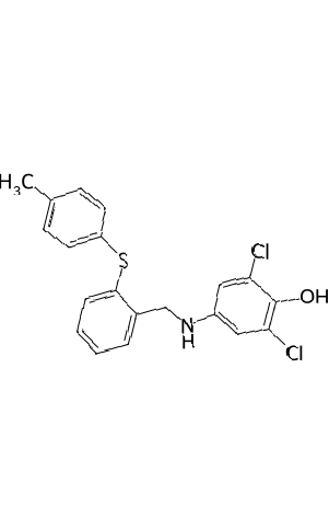 Cc1ccc(Sc2ccccc2CNc2cc(Cl)c(O)c(Cl)c2)cc1